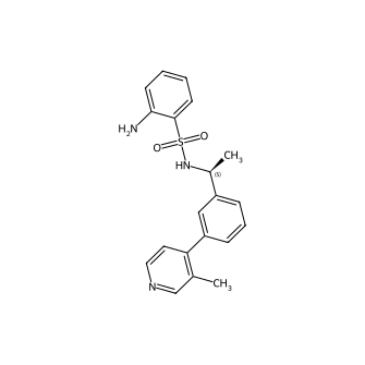 Cc1cnccc1-c1cccc([C@H](C)NS(=O)(=O)c2ccccc2N)c1